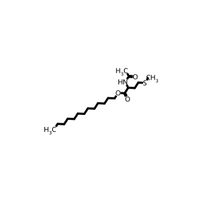 CCCCCCCCCCCCCOC(=O)C(CCSC)NC(C)=O